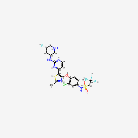 Cc1nc(Oc2ccc(NS(=O)(=O)CC(F)(F)F)cc2Cl)c(-c2ccnc(N[C@@H]3CNC[C@@H](F)C3)n2)s1